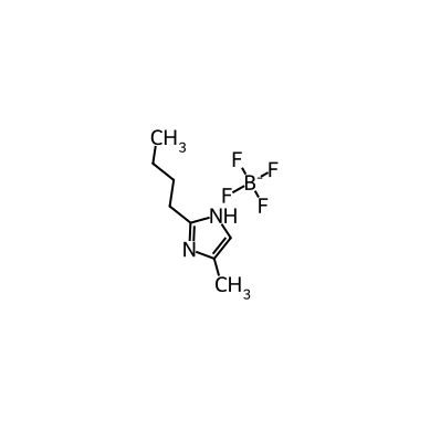 CCCCc1nc(C)c[nH]1.F[B-](F)(F)F